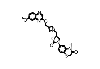 COc1ccc2ncc(OCC3CN(CC4CN(c5ccc6c(c5)NC(=O)CS6)C(=O)O4)C3)nc2c1